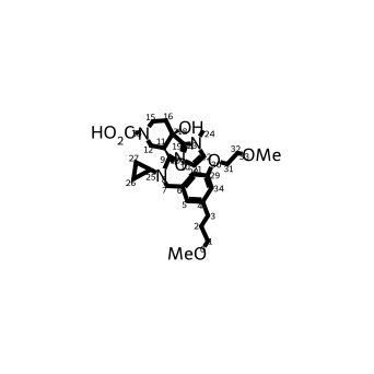 COCCCc1cc(CN(C(=O)[C@H]2CN(C(=O)O)CC[C@]2(O)c2nccn2C)C2CC2)cc(OCCOC)c1